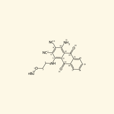 CCCCOCCNc1c(C#N)c(C#N)c(N)c2c1C(=O)c1ccccc1C2=O